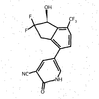 N#Cc1cc(-c2ccc(C(F)(F)F)c3c2CC(F)(F)[C@H]3O)c[nH]c1=O